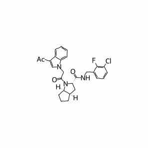 CC(=O)c1cn(CC(=O)N2[C@@H]3CCC[C@@H]3C[C@H]2C(=O)NCc2cccc(Cl)c2F)c2ccccc12